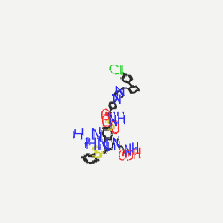 CN(CCC(=O)NO)CCC(CSc1ccccc1)Nc1ccc(S(=O)(=O)NC(=O)c2ccc(N3CCN(Cc4ccccc4-c4ccc(Cl)cc4)CC3)cc2)cc1N